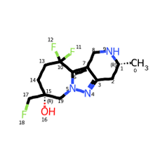 C[C@@H]1Cc2nn3c(c2CN1)C(F)(F)CC[C@](O)(CF)C3